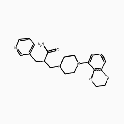 NC(=O)[C@H](Cc1cccnc1)CN1CCN(c2cccc3c2OCCO3)CC1